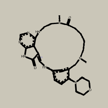 CN1CCCCC(=O)N(C)CCNc2ncnc3c2/C(=C/Nc2ccc(N4CCOCC4)c(c2)C1)C(=O)N3